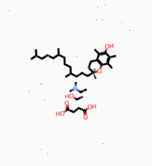 CCN(C)C.CCO.Cc1c(C)c2c(c(C)c1O)CC[C@@](C)(CCCC(C)CCCC(C)CCCC(C)C)O2.O=C(O)CCC(=O)O